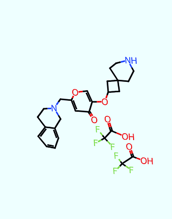 O=C(O)C(F)(F)F.O=C(O)C(F)(F)F.O=c1cc(CN2CCc3ccccc3C2)occ1OC1CC2(CCNCC2)C1